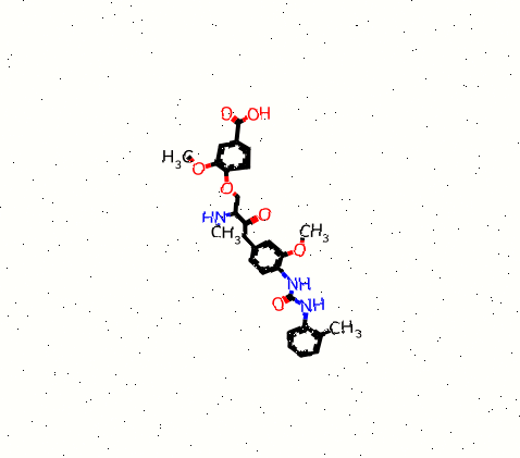 CNC(COc1ccc(C(=O)O)cc1OC)C(=O)Cc1ccc(NC(=O)Nc2ccccc2C)c(OC)c1